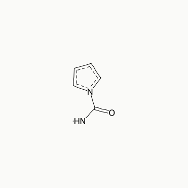 [NH]C(=O)n1cccc1